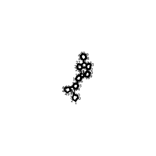 C1=CCCC(n2c3c(c4cc(-c5ccc6c(c5)c5ccccc5n6-c5cccc6c5-c5ccccc5C6c5ccccc5)ccc42)C=CCC3)=C1